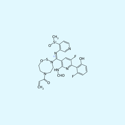 C=CC(=O)N1CCOSN(/C(=N/c2cnccc2[S+](C)[O-])c2cc(F)c(-c3c(O)cccc3F)nc2NC=O)CC1